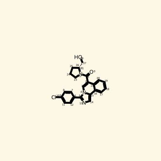 O=C(c1cn2c(-c3ccc(Cl)cc3)ncc2c2ccccc12)N1CCC[C@@H]1CO